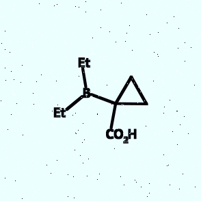 CCB(CC)C1(C(=O)O)CC1